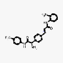 Nc1ccccc1NC(=O)/C=C/c1ccc(C(N)C(=O)Nc2ccc(C(F)(F)F)cc2)cc1